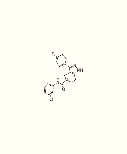 O=C(Nc1cccc(Cl)c1)N1CCc2[nH]nc(-c3ccc(F)nc3)c2C1